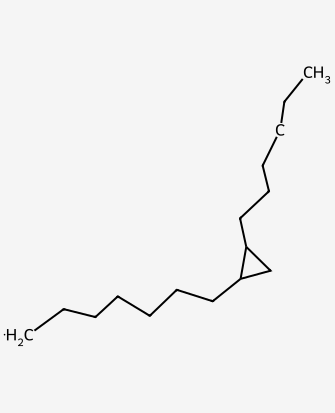 [CH2]CCCCCCC1CC1CCCCCC